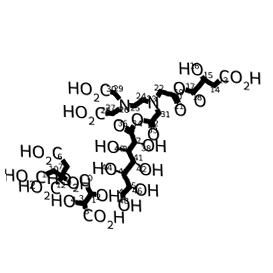 O=C(O)C(O)C(O)C(=O)O.O=C(O)CC(O)(CC(=O)O)C(=O)O.O=C(O)CC(O)C(=O)OC(=O)CN(CCN(CC(=O)O)CC(=O)O)CC(=O)OC(=O)[C@H](O)[C@H](O)[C@H](O)[C@@H](O)[C@H](O)CO